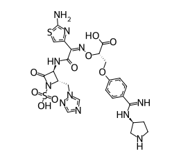 N=C(N[C@H]1CCNC1)c1ccc(OC[C@H](ON=C(C(=O)N[C@@H]2C(=O)N(S(=O)(=O)O)[C@H]2Cn2cncn2)c2csc(N)n2)C(=O)O)cc1